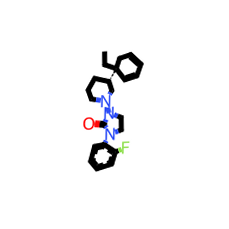 CCC1([C@H]2CCCN(N3CCN(c4ccccc4F)C3=O)C2)C=CC=CC1